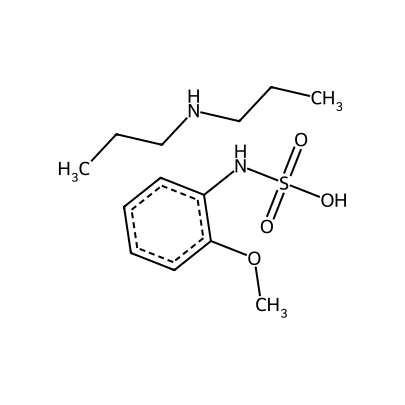 CCCNCCC.COc1ccccc1NS(=O)(=O)O